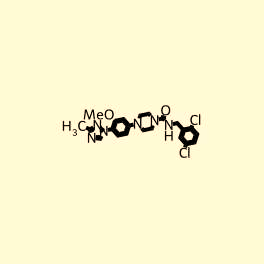 COc1cc(N2CCN(C(=O)NCc3cc(Cl)ccc3Cl)CC2)ccc1-n1cnc(C)n1